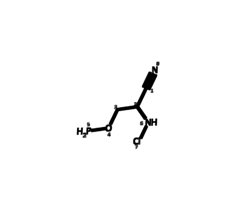 N#CC(COP)NCl